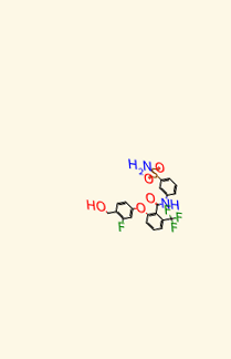 NS(=O)(=O)c1cccc(NC(=O)c2c(Oc3ccc(CO)c(F)c3)cccc2C(F)(F)F)c1